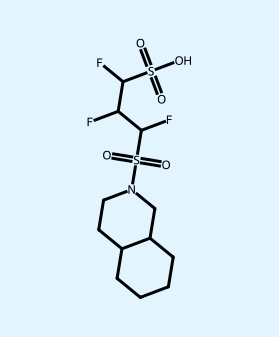 O=S(=O)(O)C(F)C(F)C(F)S(=O)(=O)N1CCC2CCCCC2C1